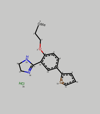 COCCOc1ccc(-c2cccs2)cc1C1=NCCN1.Cl